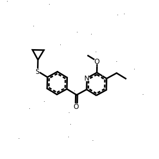 CCc1ccc(C(=O)c2ccc(SC3CC3)cc2)nc1OC